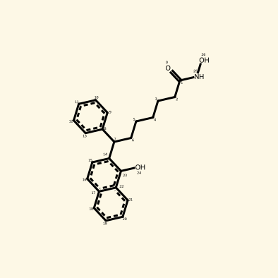 O=C(CCCCCC(c1ccccc1)c1ccc2ccccc2c1O)NO